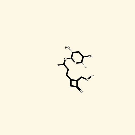 CCOCC1C(=O)CC1CC[C@@H](C)O[C@@H]1O[C@@H](C)[C@H](O)C[C@H]1O